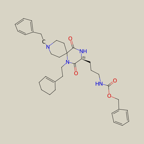 O=C(NCCC[C@@H]1NC(=O)C2(CCN(CCc3ccccc3)CC2)N(CCC2=CCCCC2)C1=O)OCc1ccccc1